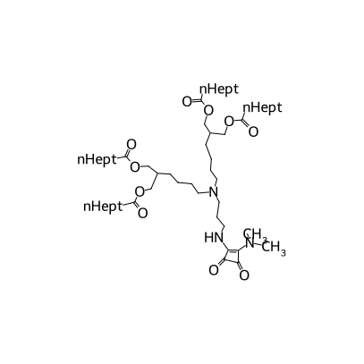 CCCCCCCC(=O)OCC(CCCCN(CCCCC(COC(=O)CCCCCCC)COC(=O)CCCCCCC)CCCNc1c(N(C)C)c(=O)c1=O)COC(=O)CCCCCCC